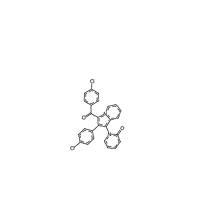 O=C(c1ccc(Cl)cc1)c1c(-c2ccc(Cl)cc2)c(-n2ccccc2=O)c2ccccn12